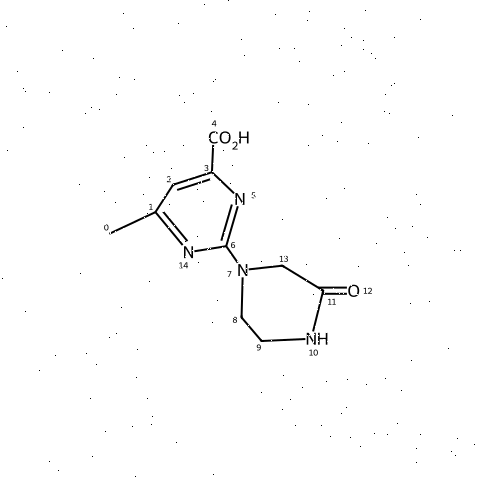 Cc1cc(C(=O)O)nc(N2CCNC(=O)C2)n1